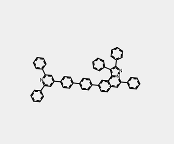 c1ccc(-c2cc(-c3ccc(-c4ccc(-c5ccc6cc(-c7ccccc7)n7nc(-c8ccccc8)c(-c8ccccc8)c7c6c5)cc4)cc3)cc(-c3ccccc3)n2)cc1